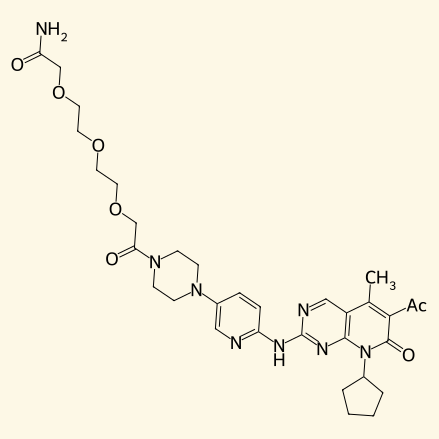 CC(=O)c1c(C)c2cnc(Nc3ccc(N4CCN(C(=O)COCCOCCOCC(N)=O)CC4)cn3)nc2n(C2CCCC2)c1=O